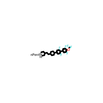 CCCCC[SiH]1CCC(CCC2CCC(c3cc(F)c(-c4cc(F)c(OC(F)F)c(F)c4)c(F)c3)CC2)CC1